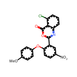 COc1ccc(Oc2ccc([N+](=O)[O-])cc2-c2nc3cccc(Cl)c3c(=O)o2)cc1